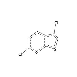 Clc1ccc2c(Cl)csc2c1